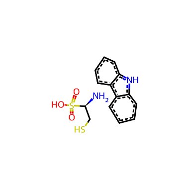 N[C@@H](CS)S(=O)(=O)O.c1ccc2c(c1)[nH]c1ccccc12